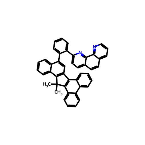 CC1(C)c2c(cc(-c3ccccc3-c3ccc4ccc5cccnc5c4n3)c3ccccc23)-c2c1c1ccccc1c1ccccc21